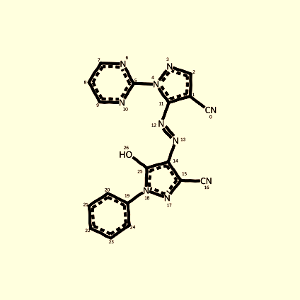 N#Cc1cnn(-c2ncccn2)c1N=Nc1c(C#N)nn(-c2ccccc2)c1O